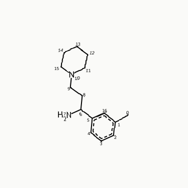 Cc1cccc(C(N)CCN2CCCCC2)c1